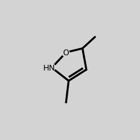 CC1=CC(C)ON1